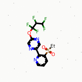 CCS(=O)(=O)c1cccnc1-c1cnc(OC(F)(F)C(F)C(F)F)cn1